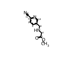 COC(=O)CNCc1ccc(C#N)nc1